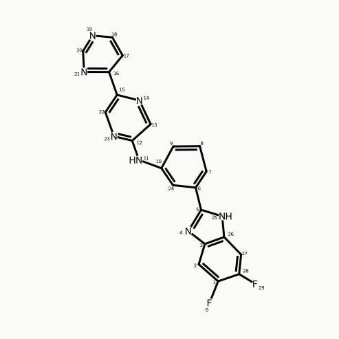 Fc1cc2nc(-c3cccc(Nc4cnc(-c5ccncn5)cn4)c3)[nH]c2cc1F